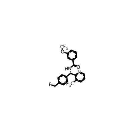 O=C(N[C@@H](c1ccc(CF)cc1)c1ncccc1C(F)(F)F)c1cccc(OC(F)(F)F)c1